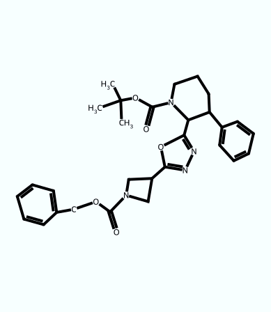 CC(C)(C)OC(=O)N1CCCC(c2ccccc2)C1c1nnc(C2CN(C(=O)OCc3ccccc3)C2)o1